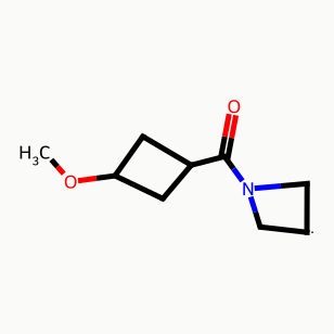 COC1CC(C(=O)N2C[CH]C2)C1